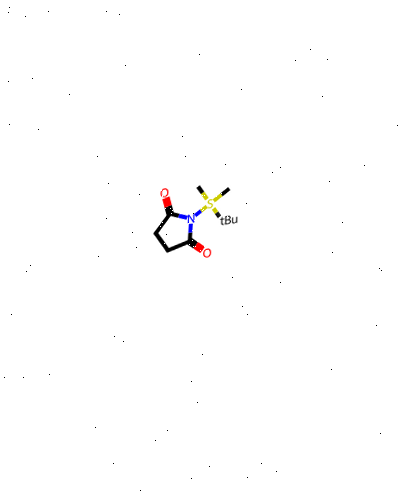 CC(C)(C)S(C)(C)N1C(=O)CCC1=O